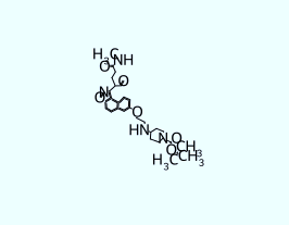 CNC(=O)CCC(C=O)c1noc2ccc3cc(OCCNC4CCN(C(=O)OC(C)(C)C)CC4)ccc3c12